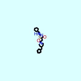 O=C1N=C(NCC2CCCCC2)SC1CC(=O)N1CCC(Cc2ccccc2)CC1